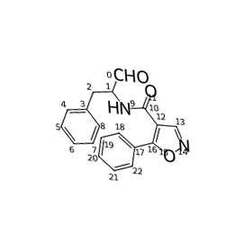 O=CC(Cc1ccccc1)NC(=O)c1cnoc1-c1ccccc1